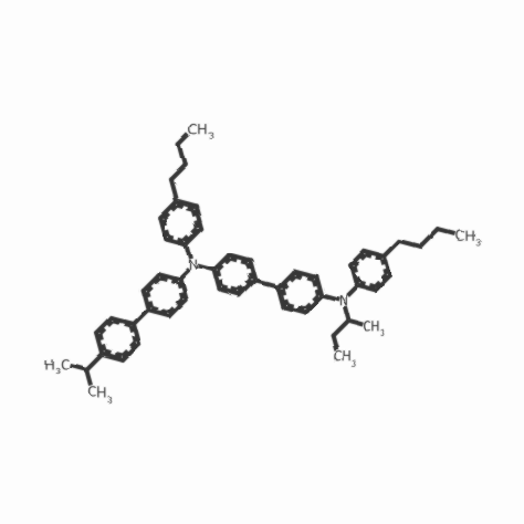 CCCCc1ccc(N(c2ccc(-c3ccc(C(C)C)cc3)cc2)c2ccc(-c3ccc(N(c4ccc(CCCC)cc4)C(C)CC)cc3)cc2)cc1